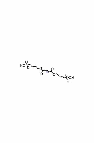 O=C(/C=C/C(=O)OCCCCS(=O)(=O)O)OCCCCS(=O)(=O)O